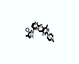 C=C(C)C(=O)Nc1ccnc(Sc2c(C)nc(N3CCN(C)CC3)nc2C)n1